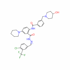 O=C(Nc1ccc(N2CCCCC2)cc1C(=O)N/N=C\c1ccc(Cl)c(C(F)(F)F)c1)c1cccc(CN2CCC(O)CC2)c1